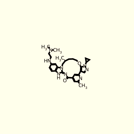 Cc1cc2cc(n1)-c1cnn(C3CC3)c1OCCC[C@@H](C)CN1/C(=N/C2=O)Nc2ccc(NCCN(C)C)cc21